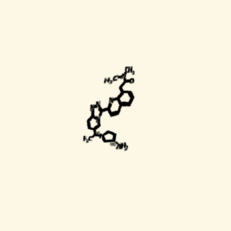 CN(C)C(=O)Cc1cccc2ccc(-c3nnc4ccc([C@@H](N5CC[C@H](N)C5)C(F)(F)F)cn34)nc12